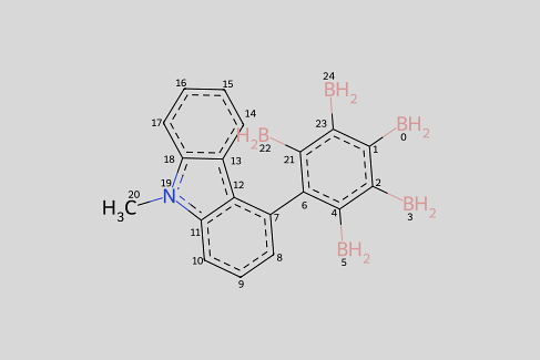 Bc1c(B)c(B)c(-c2cccc3c2c2ccccc2n3C)c(B)c1B